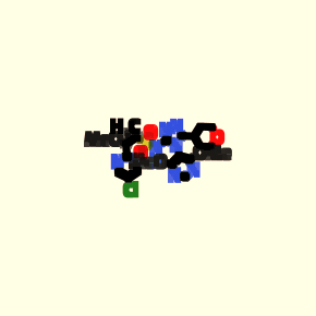 COc1ncnc(OC)c1-n1c(NS(=O)(=O)[C@@H](C)[C@H](OC)c2ncc(Cl)cn2)nnc1C1CCOCC1